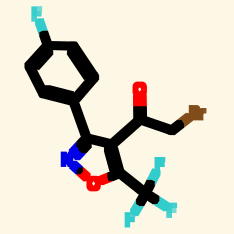 O=C(CBr)c1c(-c2ccc(F)cc2)noc1C(F)(F)F